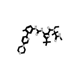 CCN(C(=O)c1sc(C(C)(C)C)cc1NC(=O)Nc1ccc(C)c(-c2ccc(N3CCOCC3)cn2)c1)C(C)(C)C(=O)NC